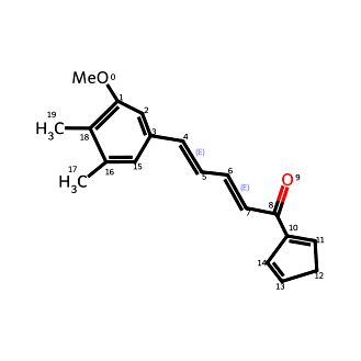 COc1cc(/C=C/C=C/C(=O)C2=CCC=C2)cc(C)c1C